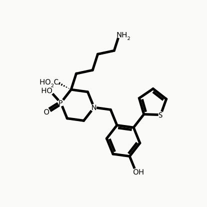 NCCCC[C@@]1(C(=O)O)CN(Cc2ccc(O)cc2-c2cccs2)CCP1(=O)O